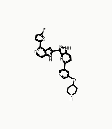 Fc1ccc(-c2nccc3[nH]c(-c4n[nH]c5ccc(-c6cncc(OC7CCNCC7)c6)nc45)cc23)s1